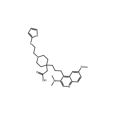 COc1ccc2ncc(N(C)C)c(CCCC3(CC(=O)O)CCN(CCSc4cccs4)CC3)c2c1